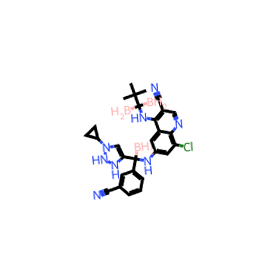 BC(Nc1cc(Cl)c2ncc(C#N)c(NC(B)(B)C(C)(C)C)c2c1)(C1=CN(C2CC2)NN1)c1cccc(C#N)c1